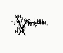 CCCCCC(N)C(=O)NC(CCCCNC(=O)C(N)CCCCN)C(=O)NCCCCC(NC(=O)C(N)CCCCNC(=O)C(CN)CCCN)C(C)=O